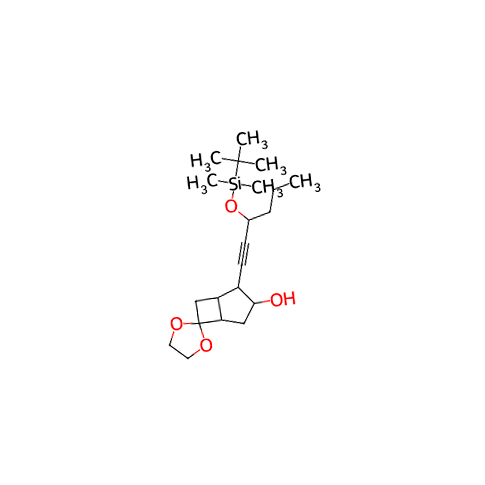 CCCC(C#CC1C(O)CC2C1CC21OCCO1)O[Si](C)(C)C(C)(C)C